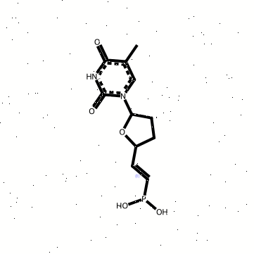 Cc1cn(C2CCC(/C=C/P(O)O)O2)c(=O)[nH]c1=O